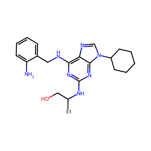 CCC(CO)Nc1nc(NCc2ccccc2N)c2ncn(C3CCCCC3)c2n1